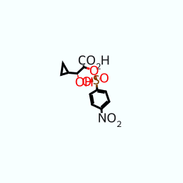 O=C(O)[C@@H](OS(=O)(=O)c1ccc([N+](=O)[O-])cc1)[C@H](O)C1CC1